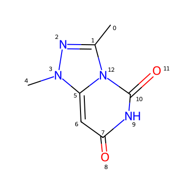 Cc1nn(C)c2cc(=O)[nH]c(=O)n12